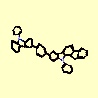 c1ccc(-n2c3ccccc3c3cc(-c4ccc(-c5ccc6c(c5)c5ccc7c(c5n6-c5ccccc5)Cc5ccccc5-7)cc4)ccc32)cc1